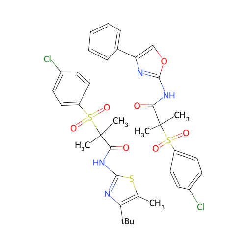 CC(C)(C(=O)Nc1nc(-c2ccccc2)co1)S(=O)(=O)c1ccc(Cl)cc1.Cc1sc(NC(=O)C(C)(C)S(=O)(=O)c2ccc(Cl)cc2)nc1C(C)(C)C